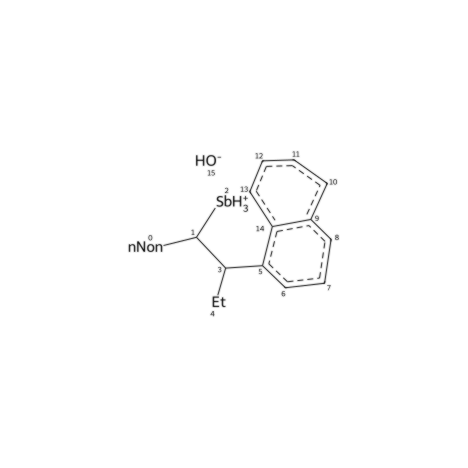 CCCCCCCCC[CH]([SbH3+])C(CC)c1cccc2ccccc12.[OH-]